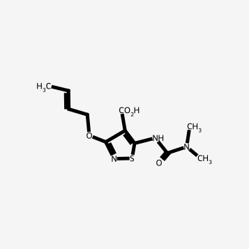 CC=CCOc1nsc(NC(=O)N(C)C)c1C(=O)O